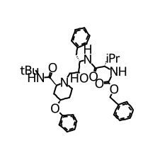 CC(C)[C@H](NC(=O)OCc1ccccc1)C(=O)N[C@@H](Cc1ccccc1)[C@H](O)CN1CC[C@@H](Oc2ccccc2)C[C@H]1C(=O)NC(C)(C)C